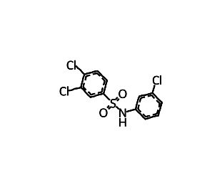 O=S(=O)(Nc1cccc(Cl)c1)c1ccc(Cl)c(Cl)c1